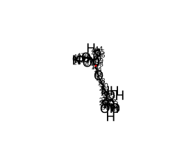 C[N+]1(C)CCC(OC(=O)Nc2cc(CCCOCCCCCNC[C@H](O)c3ccc(O)c4[nH]c(=O)ccc34)ccc2-c2ccccc2)CC1